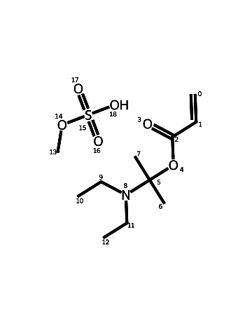 C=CC(=O)OC(C)(C)N(CC)CC.COS(=O)(=O)O